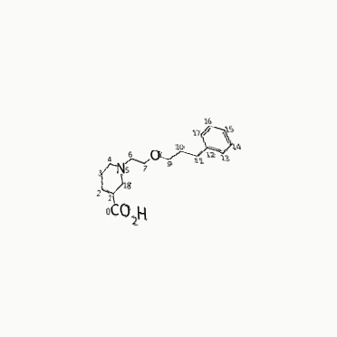 O=C(O)C1CCCN(CCOCCCc2ccccc2)C1